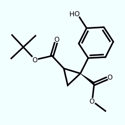 COC(=O)[C@@]1(c2cccc(O)c2)CC1C(=O)OC(C)(C)C